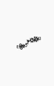 CCS(=O)(=O)N1CC(OCC[C@@H]2C[C@@H]2C2CCN(c3ncc(Cl)cn3)CC2)C1